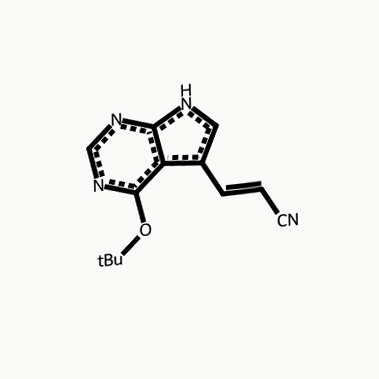 CC(C)(C)Oc1ncnc2[nH]cc(C=CC#N)c12